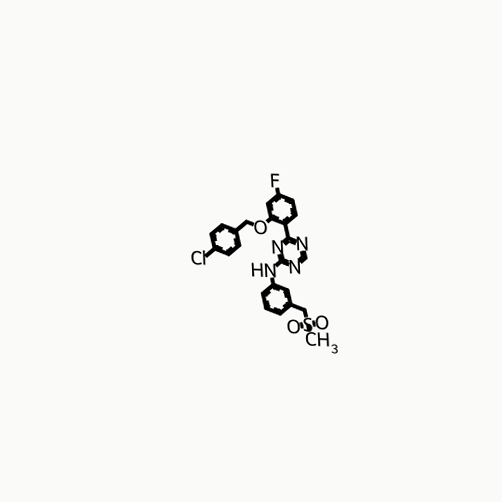 CS(=O)(=O)Cc1cccc(Nc2ncnc(-c3ccc(F)cc3OCc3ccc(Cl)cc3)n2)c1